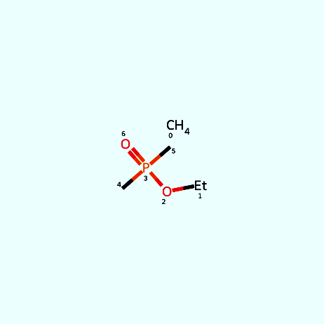 C.CCOP(C)(C)=O